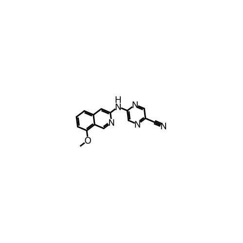 COc1cccc2cc(Nc3cnc(C#N)cn3)ncc12